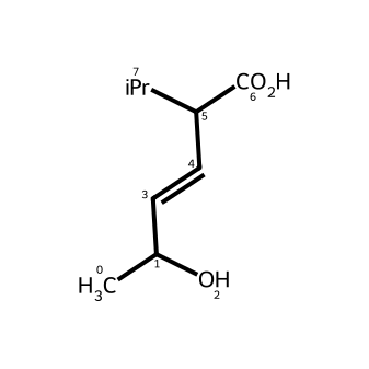 CC(O)/C=C/C(C(=O)O)C(C)C